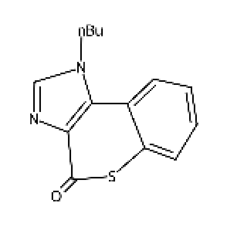 CCCCn1cnc2c(=O)sc3ccccc3c21